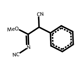 COC(=NC#N)C(C#N)c1ccccc1